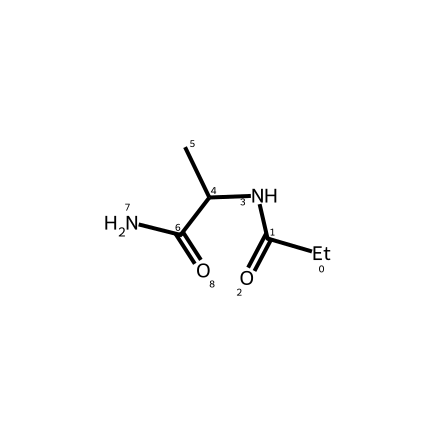 CCC(=O)NC(C)C(N)=O